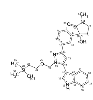 CN1CC[C@@](O)(c2cccc(-c3cc(-c4c[nH]c5ncccc45)n(COCC[Si](C)(C)C)n3)c2)C1=O